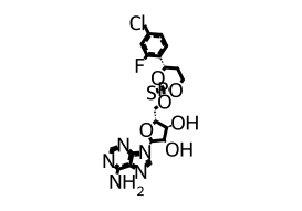 Nc1ncnc2c1ncn2[C@@H]1O[C@H](COP2(=S)OCC[C@@H](c3ccc(Cl)cc3F)O2)[C@H](O)[C@@H]1O